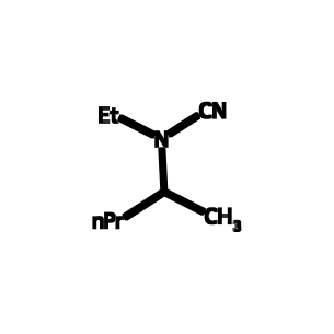 CCCC(C)N(C#N)CC